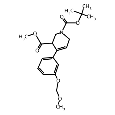 COCOc1cccc(C2=CCN(C(=O)OC(C)(C)C)CC2C(=O)OC)c1